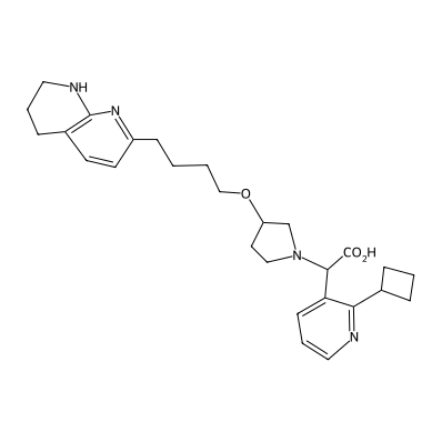 O=C(O)C(c1cccnc1C1CCC1)N1CCC(OCCCCc2ccc3c(n2)NCCC3)C1